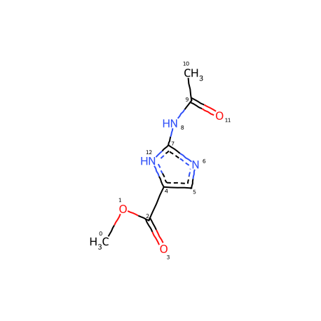 COC(=O)c1cnc(NC(C)=O)[nH]1